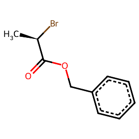 C[C@@H](Br)C(=O)OCc1ccccc1